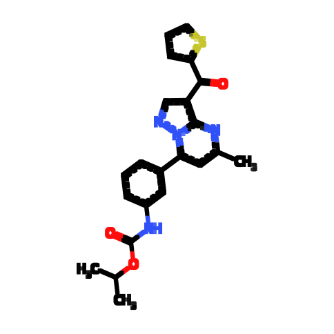 Cc1cc(-c2cccc(NC(=O)OC(C)C)c2)n2ncc(C(=O)c3cccs3)c2n1